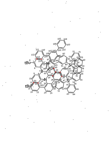 CC(C)(C)c1ccc2c(c1)B1c3ccc(C(C)(C)C)cc3N(c3c(-c4ccccc4)cccc3-c3ccccc3)c3cc(-c4cc([Si](c5ccccc5)(c5ccccc5)c5cccc(-c6ccccc6)c5)cc([Si](c5ccccc5)(c5ccccc5)c5cccc(-c6ccccc6)c5)c4)cc(c31)N2c1ccc(-c2ccccc2)cc1-c1ccccc1